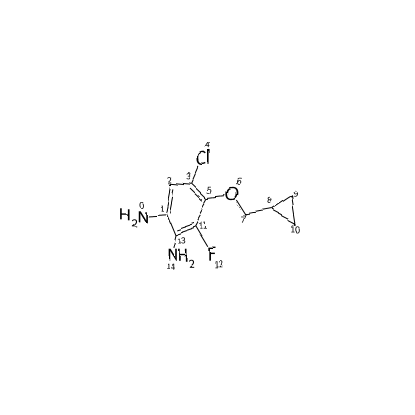 Nc1cc(Cl)c(OCC2CC2)c(F)c1N